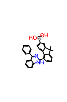 CC1(C)c2cc(B(O)O)ccc2-c2c(C3N=C(c4ccccc4)c4ccccc4N3)cccc21